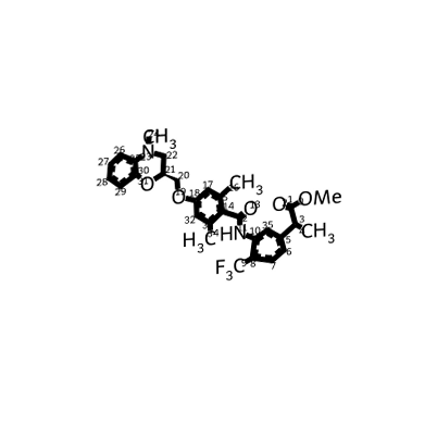 COC(=O)C(C)c1ccc(C(F)(F)F)c(NC(=O)c2c(C)cc(OC[C@@H]3CN(C)c4ccccc4O3)cc2C)c1